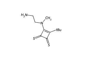 CN(CCN)c1c(C(C)(C)C)c(=S)c1=S